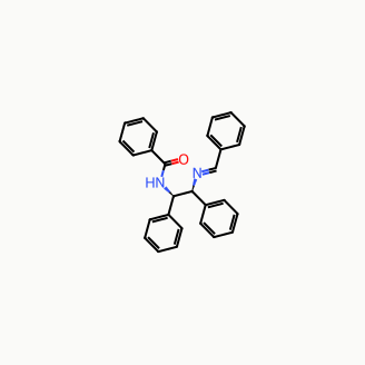 O=C(N[C@H](c1ccccc1)[C@@H](N=Cc1ccccc1)c1ccccc1)c1ccccc1